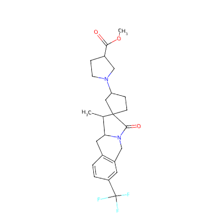 COC(=O)C1CCN(C2CCC3(C2)C(=O)N2Cc4cc(C(F)(F)F)ccc4CC2C3C)C1